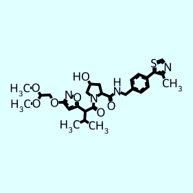 COC(COc1cc(C(C(=O)N2CC(O)CC2C(=O)NCc2ccc(-c3scnc3C)cc2)C(C)C)on1)OC